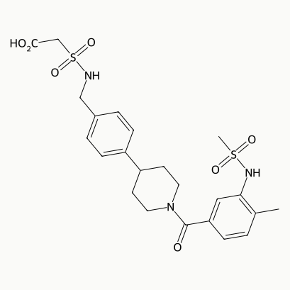 Cc1ccc(C(=O)N2CCC(c3ccc(CNS(=O)(=O)CC(=O)O)cc3)CC2)cc1NS(C)(=O)=O